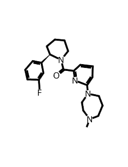 CN1CCCN(c2cccc(C(=O)N3CCCC[C@@H]3c3cccc(F)c3)n2)CC1